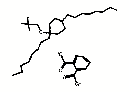 CCCCCCCCC1CCC(CCCCCCCC)(OCC(C)(C)C)CC1.O=C(O)c1ccccc1C(=O)O